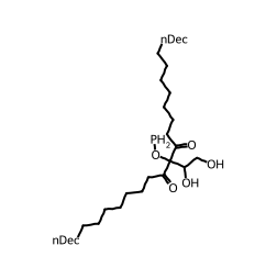 CCCCCCCCCCCCCCCCCC(=O)C(OP)(C(=O)CCCCCCCCCCCCCCCCC)C(O)CO